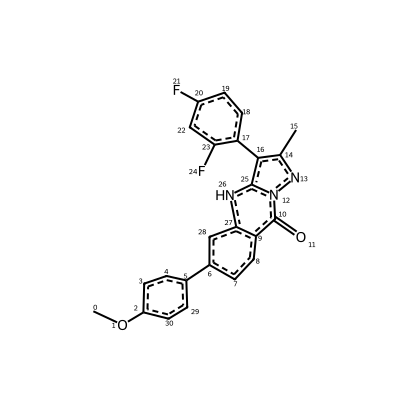 COc1ccc(-c2ccc3c(=O)n4nc(C)c(-c5ccc(F)cc5F)c4[nH]c3c2)cc1